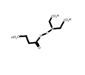 O=C(O)CCC(=O)OCN(CC(=O)O)CC(=O)O